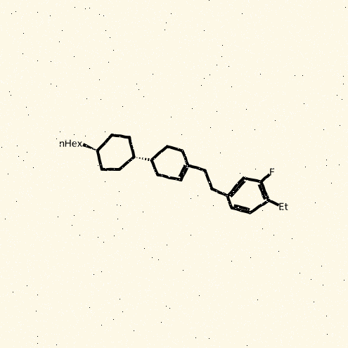 CCCCCC[C@H]1CC[C@H](C2CC=C(CCc3ccc(CC)c(F)c3)CC2)CC1